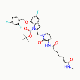 CNC(=O)/C=C/CCCC(=O)Nc1cccn(Cc2cc3cc(F)cc(OCc4ccc(F)cc4F)c3n2C(=O)OC(C)(C)C)c1=O